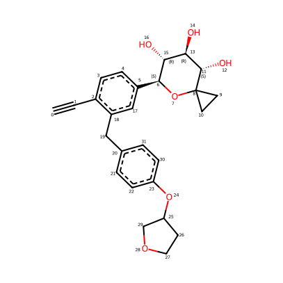 C#Cc1ccc([C@@H]2OC3(CC3)[C@@H](O)[C@H](O)[C@H]2O)cc1Cc1ccc(OC2CCOC2)cc1